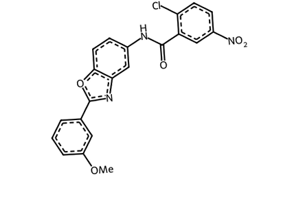 COc1cccc(-c2nc3cc(NC(=O)c4cc([N+](=O)[O-])ccc4Cl)ccc3o2)c1